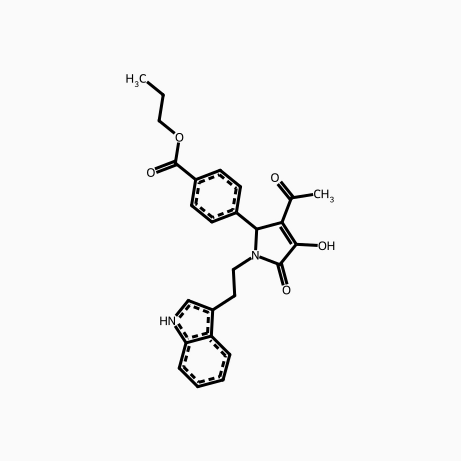 CCCOC(=O)c1ccc(C2C(C(C)=O)=C(O)C(=O)N2CCc2c[nH]c3ccccc23)cc1